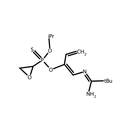 C=C/C(=C\N=C(/N)C(C)(C)C)OP(=S)(OC(C)C)C1CO1